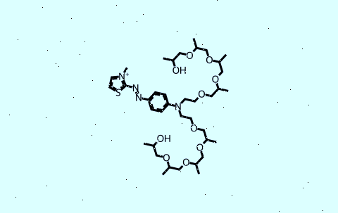 CC(O)COC(C)COC(C)COC(C)COCCN(CCOCC(C)OCC(C)OCC(C)OCC(C)O)c1ccc(/N=N/c2scc[n+]2C)cc1